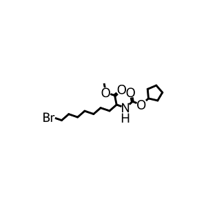 COC(=O)C(CCCCCCCBr)NC(=O)OC1CCCC1